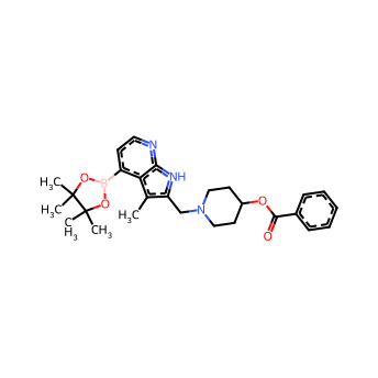 Cc1c(CN2CCC(OC(=O)c3ccccc3)CC2)[nH]c2nccc(B3OC(C)(C)C(C)(C)O3)c12